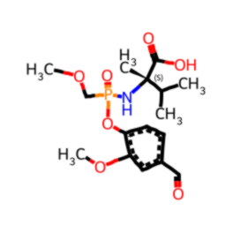 COCP(=O)(N[C@](C)(C(=O)O)C(C)C)Oc1ccc(C=O)cc1OC